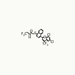 O=C(CSc1ccc(C(=O)C=C(c2cc(Cl)cc(Cl)c2)C(F)(F)F)c2ccccc12)NCC(F)(F)F